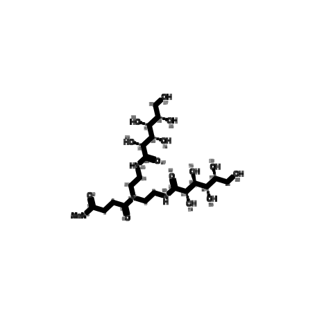 CNC(=O)CCC(=O)N(CCNC(=O)[C@@H](O)[C@@H](O)[C@@H](O)[C@H](O)CO)CCNC(=O)[C@H](O)[C@@H](O)[C@H](O)[C@@H](O)CO